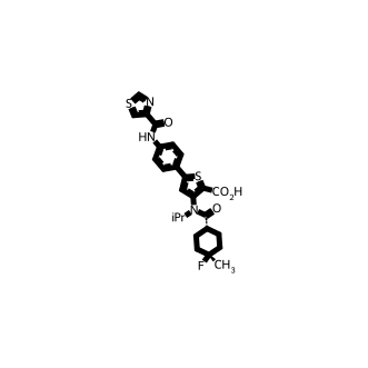 CC(C)N(c1cc(-c2ccc(NC(=O)c3cscn3)cc2)sc1C(=O)O)C(=O)[C@H]1CC[C@@](C)(F)CC1